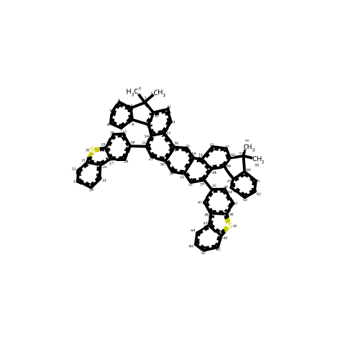 CC1(C)c2ccccc2-c2c1ccc1c2c(-c2ccc3sc4ccccc4c3c2)cc2cc3cc(-c4ccc5sc6ccccc6c5c4)c4c5c(ccc4c3cc21)C(C)(C)c1ccccc1-5